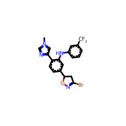 Cn1cnc(-c2ccc(C3CC(Br)=NO3)cc2Nc2cccc(C(F)(F)F)c2)c1